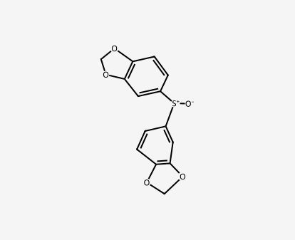 [O-][S+](c1ccc2c(c1)OCO2)c1ccc2c(c1)OCO2